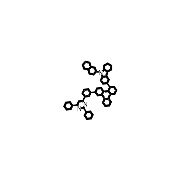 c1ccc(-c2cc(-c3cccc(-c4ccc5c(c4)c4ccccc4c4cccc(-c6ccc7c(c6)c6ccccc6n7-c6ccc7ccccc7c6)c45)c3)nc(-c3ccccc3)n2)cc1